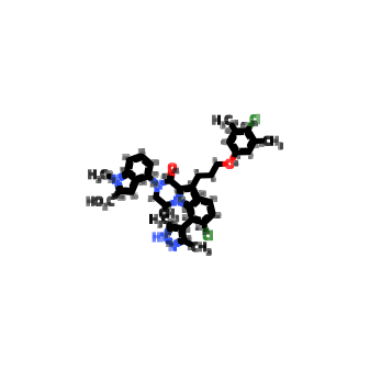 Cc1cc(OCCCc2c3n(c4c(-c5c(C)n[nH]c5C)c(Cl)ccc24)C(C)CN(c2cccc4c2cc(C(=O)O)n4C)C3=O)cc(C)c1Cl